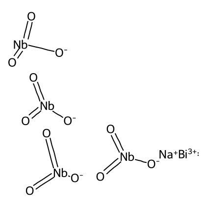 [Bi+3].[Na+].[O]=[Nb](=[O])[O-].[O]=[Nb](=[O])[O-].[O]=[Nb](=[O])[O-].[O]=[Nb](=[O])[O-]